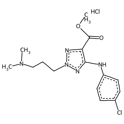 COC(=O)c1nn(CCCN(C)C)nc1Nc1ccc(Cl)cc1.Cl